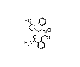 CN(C(=O)Cc1ccccc1C(N)=O)C(CN1CCC(O)C1)c1ccccc1